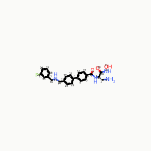 NC[C@H](NC(=O)c1ccc(-c2ccc(CNCc3cccc(F)c3)cc2)cc1)C(=O)NO